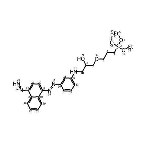 CCO[Si](CCCOCC(O)CNc1cccc(N=Nc2ccc(N=N)c3ccccc23)c1)(OCC)OCC